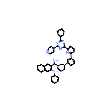 N=C(c1cc2ccccc2cc1Nc1ccccc1)C1C=CC=C(c2cccc(-c3cccc(-c4nc(-c5ccccc5)nc(-c5ccncc5)n4)n3)c2)C1